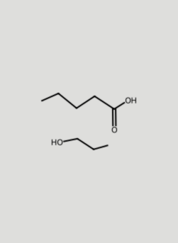 CCCCC(=O)O.CCCO